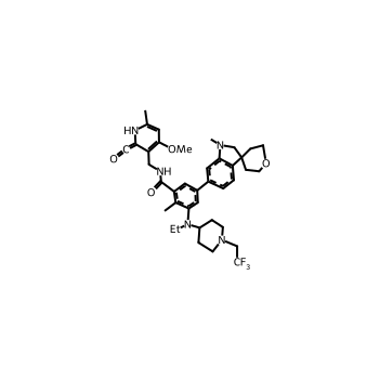 CCN(c1cc(-c2ccc3c(c2)N(C)CC32CCOCC2)cc(C(=O)NCC2=C(OC)C=C(C)NC2=C=O)c1C)C1CCN(CC(F)(F)F)CC1